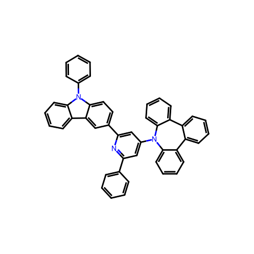 c1ccc(-c2cc(N3c4ccccc4-c4ccccc4-c4ccccc43)cc(-c3ccc4c(c3)c3ccccc3n4-c3ccccc3)n2)cc1